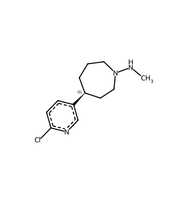 CNN1CCC[C@H](c2ccc(Cl)nc2)CC1